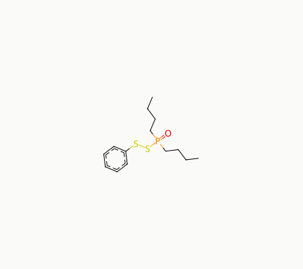 CCCCP(=O)(CCCC)SSc1ccccc1